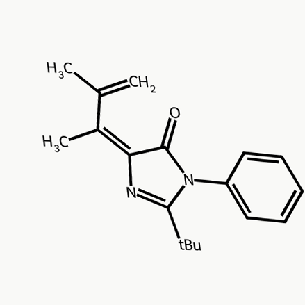 C=C(C)/C(C)=C1/N=C(C(C)(C)C)N(c2ccccc2)C1=O